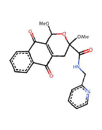 COC1OC(OC)(C(=O)NCc2ccccn2)CC2=C1C(=O)c1ccccc1C2=O